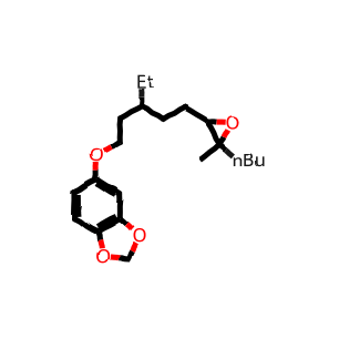 CCCCC1(C)OC1CCC(CC)CCOc1ccc2c(c1)OCO2